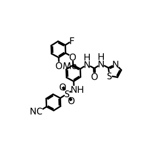 COc1cccc(F)c1Oc1ccc(NS(=O)(=O)c2ccc(C#N)cc2)cc1NC(=O)Nc1nccs1